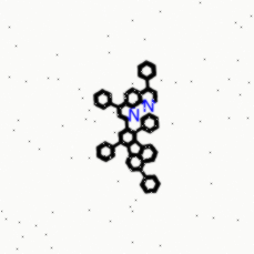 c1ccc(-c2cc(-c3cc(-c4ccccc4)c4ccc5c(-c6ccccc6)ccnc5c4n3)c(-c3ccccc3)c3c2-c2ccc(-c4ccccc4)c4cccc-3c24)cc1